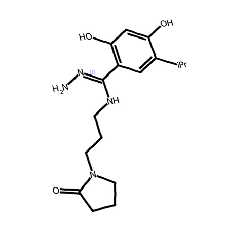 CC(C)c1cc(/C(=N/N)NCCCN2CCCC2=O)c(O)cc1O